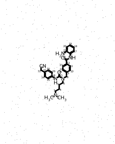 CN(C)CCCCN(Cc1ccc(C(=O)Nc2ccccc2N)cc1)C(=O)Nc1ccc(CC#N)cc1